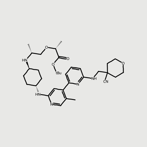 Cc1cnc(N[C@H]2CC[C@H](N[C@H](C)CO[C@H](C)C(=O)OC(C)(C)C)CC2)cc1-c1cccc(NCC2(C#N)CCOCC2)n1